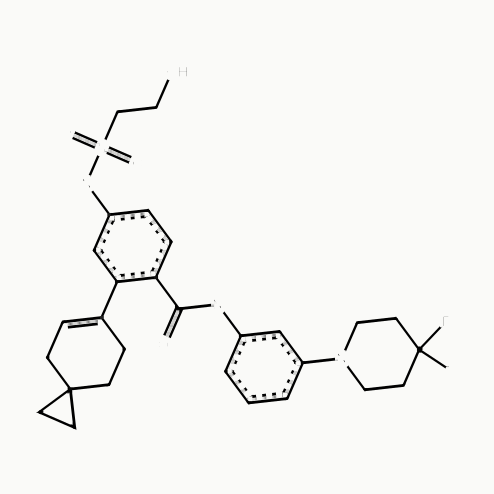 O=C(Nc1cccc(N2CCC(F)(F)CC2)c1)c1ccc(NS(=O)(=O)CCO)cc1C1=CCC2(CC1)CC2